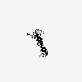 C=C(C)C(=O)Nc1ccc(OC(=O)C=Cc2ccc(OCCCC)cc2)cc1